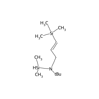 C[SiH](C)N(CC=C[Si](C)(C)C)C(C)(C)C